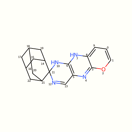 C1=COC2=NC3=C(NC2=C1)NC1(N=C3)C2CC3CC(C2)CC1C3